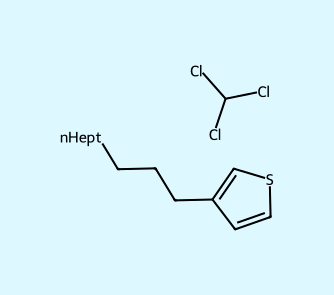 CCCCCCCCCCc1ccsc1.ClC(Cl)Cl